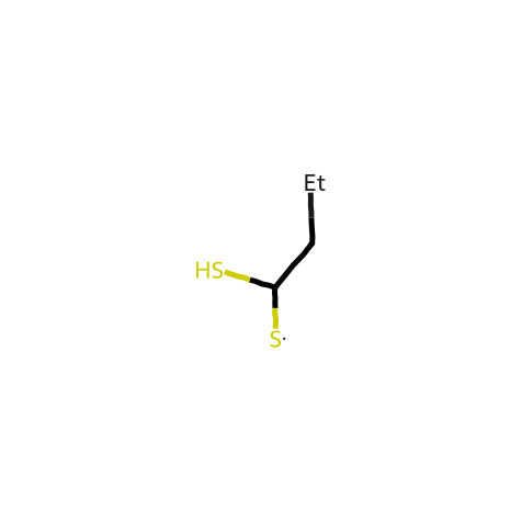 CCCC([S])S